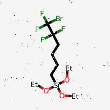 CCO[Si](CCCCC(F)(F)C(F)(F)Br)(OCC)OCC